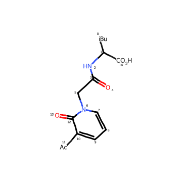 CCC(C)C(NC(=O)Cn1cccc(C(C)=O)c1=O)C(=O)O